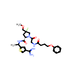 COC[C@@]1(F)C[C@@H](C(=O)NC(C)c2cc(C(=N)N)cs2)N(C(=O)CNC(=O)CCCOc2ccccc2)C1